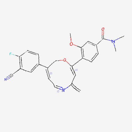 C=C1/C=C(/c2ccc(C(=O)N(C)C)cc2OC)OC/C(c2ccc(F)c(C#N)c2)=C\C=N/1